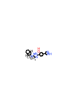 CN(c1cnc(-c2ccc(-c3cn[nH]c3)cc2O)nn1)[C@@H]1C[C@H]2CCC[C@H](C2)[C@@H]1C(F)(F)F